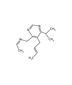 CC=CCc1c(C/N=C\C)ncnc1C(C)C